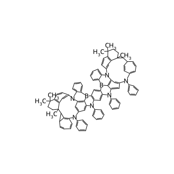 CC1(C)CCC2(C)CC3C=CC=C(C=C3)N(c3ccccc3)c3cc4c5c(c3)N(c3ccccc3)c3cc6c(cc3B5c3ccccc3N4c3ccc1c2c3)B1c2ccccc2N2c3ccc4c(c3)C(C)(CCC4(C)C)C3C4=C(C=CC=CC43)N(c3ccccc3)c3cc2c1c(c3)N6c1ccccc1